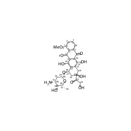 COc1cccc2c1C(=O)c1c(O)c3c(c(O)c1C2=O)C[C@](O)(C(=O)CO)C[C@H]3O[C@H]1C[C@@H](N)[C@@H](O)[C@@H](C)O1